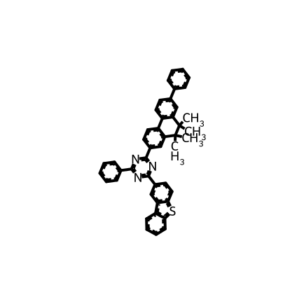 CC1(C)c2cc(-c3ccccc3)ccc2-c2ccc(-c3nc(-c4ccccc4)nc(-c4ccc5sc6ccccc6c5c4)n3)cc2C1(C)C